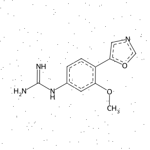 COc1cc(NC(=N)N)ccc1-c1cnco1